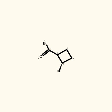 CCC(=O)C1CC[C@H]1C